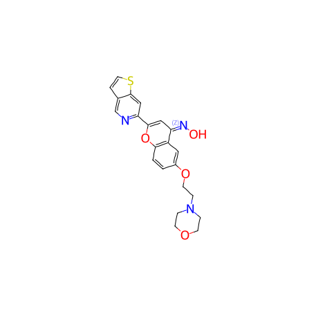 O/N=c1/cc(-c2cc3sccc3cn2)oc2ccc(OCCN3CCOCC3)cc12